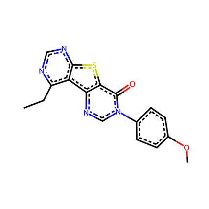 CCc1ncnc2sc3c(=O)n(-c4ccc(OC)cc4)cnc3c12